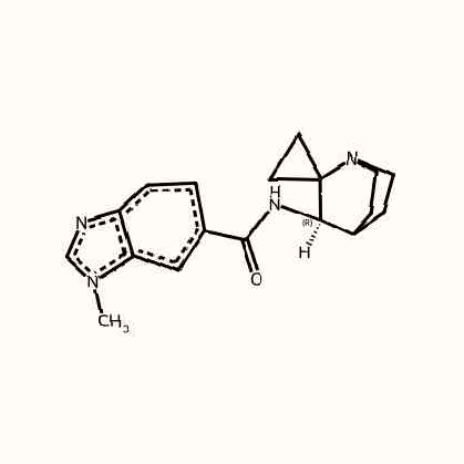 Cn1cnc2ccc(C(=O)N[C@@H]3C4CCN(CC4)C34CC4)cc21